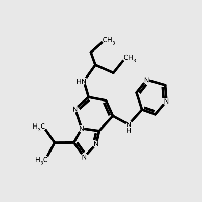 CCC(CC)Nc1cc(Nc2cncnc2)c2nnc(C(C)C)n2n1